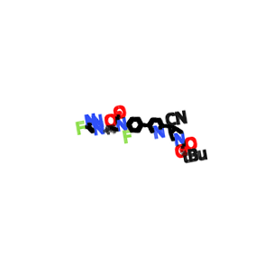 CC(C)(C)OC(=O)N1CC2C(C1)C2(C#N)c1ccc(-c2ccc(N3C[C@H](Cn4cc(F)nn4)OC3=O)c(F)c2)cn1